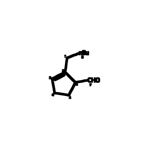 CCCCCC1=CCCC1C=O